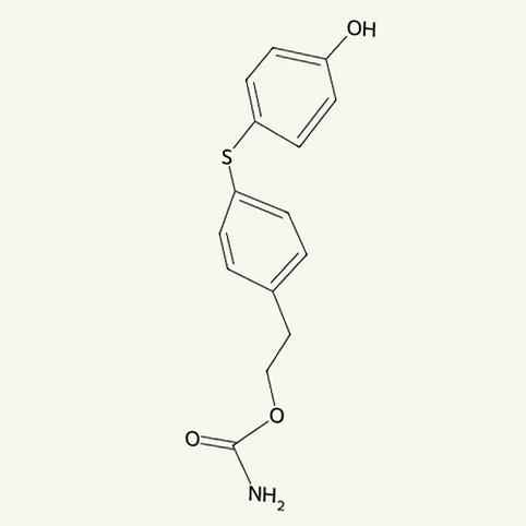 NC(=O)OCCc1ccc(Sc2ccc(O)cc2)cc1